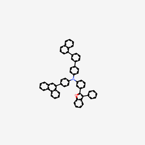 c1ccc(-c2c(-c3cccc(N(c4ccc(-c5cccc(-c6cccc7ccccc67)c5)cc4)c4ccc(-c5cc6ccccc6c6ccccc56)cc4)c3)oc3ccccc23)cc1